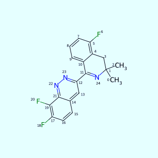 CC1(C)Cc2c(F)cccc2C(c2cc3ccc(F)c(F)c3nn2)=N1